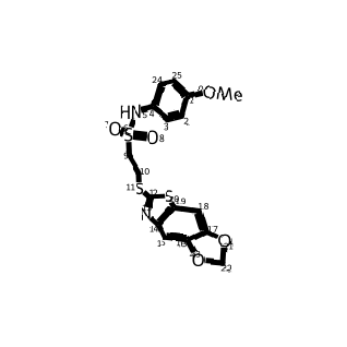 COc1ccc(NS(=O)(=O)CCSc2nc3cc4c(cc3s2)OCO4)cc1